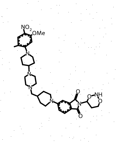 COc1cc(N2CCC(N3CCN(CC4CCN(c5ccc6c(c5)C(=O)N(C5CCONO5)C6=O)CC4)CC3)CC2)c(C)cc1[N+](=O)[O-]